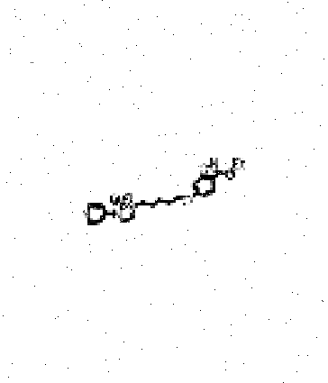 CCOc1noc2cc(OCCCCCN3CCN(c4ccncc4)S3(=O)=O)ccc12